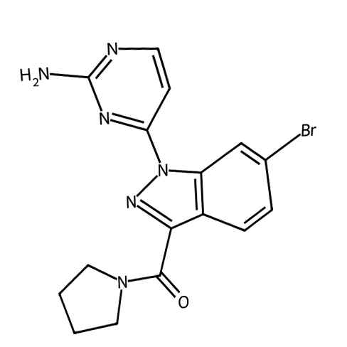 Nc1nccc(-n2nc(C(=O)N3CCCC3)c3ccc(Br)cc32)n1